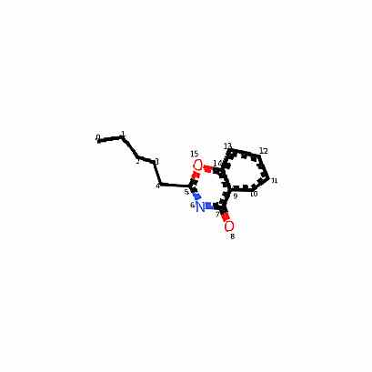 CCCCCc1nc(=O)c2ccccc2o1